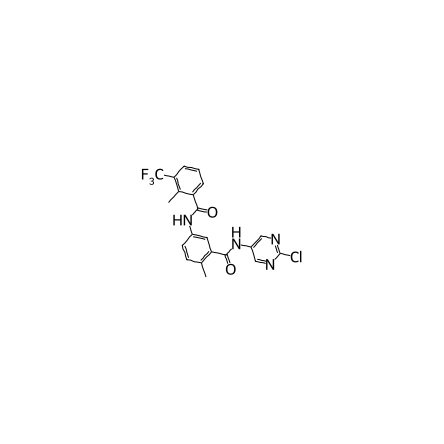 Cc1ccc(NC(=O)c2cccc(C(F)(F)F)c2C)cc1C(=O)Nc1cnc(Cl)nc1